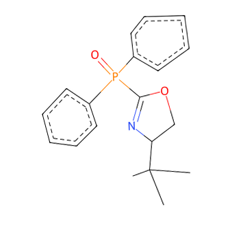 CC(C)(C)C1COC(P(=O)(c2ccccc2)c2ccccc2)=N1